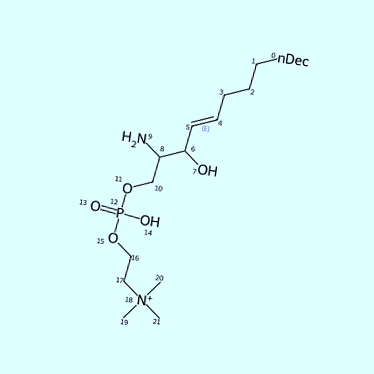 CCCCCCCCCCCCC/C=C/C(O)C(N)COP(=O)(O)OCC[N+](C)(C)C